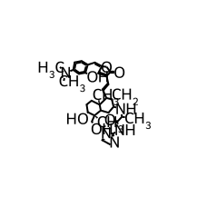 C=C1C(NC(C)C(=O)NC2=NCC=N2)CC2[C@](C)(CC[C@@H](O)[C@@]2(C)CO)C1/C=C/C1=CC(=C\c2ccc(N(C)C)cc2O)/OC1=O